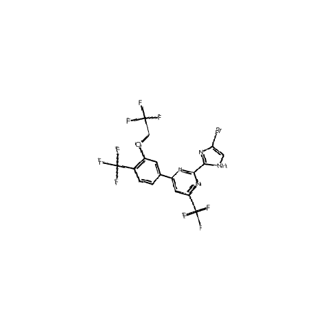 FC(F)(F)COc1cc(-c2cc(C(F)(F)F)nc(-c3nc(Br)c[nH]3)n2)ccc1C(F)(F)F